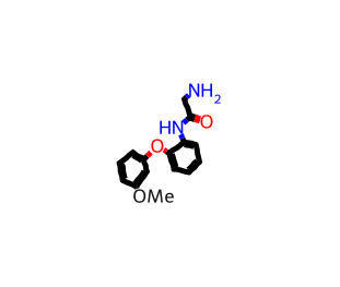 COc1cccc(Oc2ccccc2NC(=O)CN)c1